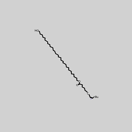 CCCC/C=C\CCCCCCCC(=O)OCCCCCCCCCCCCCCCCCCCCCCCCCCCCCCO